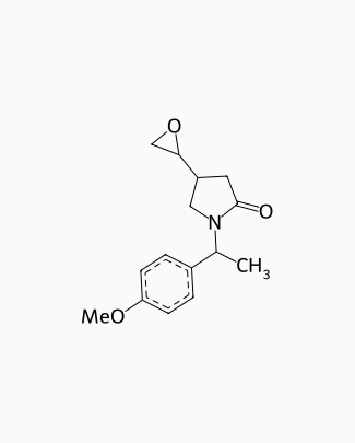 COc1ccc(C(C)N2CC(C3CO3)CC2=O)cc1